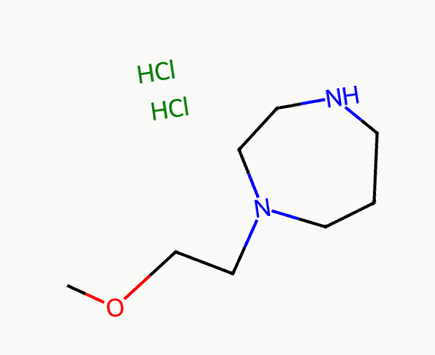 COCCN1CCCNCC1.Cl.Cl